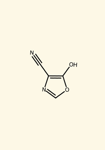 N#Cc1ncoc1O